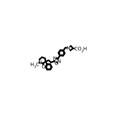 CN1CCCC(CCc2nc(-c3ccc(CN4CC(C(=O)O)C4)cc3)no2)(c2ccccc2)C1=O